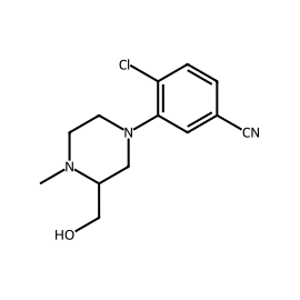 CN1CCN(c2cc(C#N)ccc2Cl)CC1CO